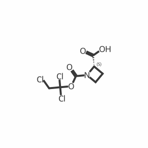 O=C(O)[C@@H]1CCN1C(=O)OC(Cl)(Cl)CCl